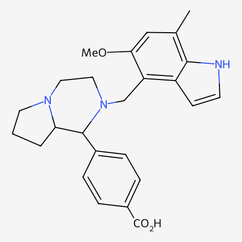 COc1cc(C)c2[nH]ccc2c1CN1CCN2CCCC2C1c1ccc(C(=O)O)cc1